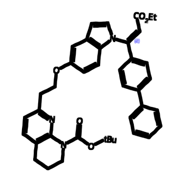 CCOC(=O)/C=C(/c1ccc(-c2ccccc2)cc1)n1ccc2cc(OCCc3ccc4c(n3)N(C(=O)OC(C)(C)C)CCC4)ccc21